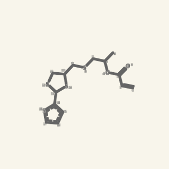 C=CC(=O)OC(C)CSCC1CSC(c2cccs2)S1